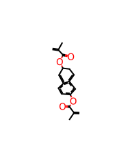 C=C(C)C(=O)Oc1ccc2c(c1)=CCC(OC(=O)C(=C)C)C=2